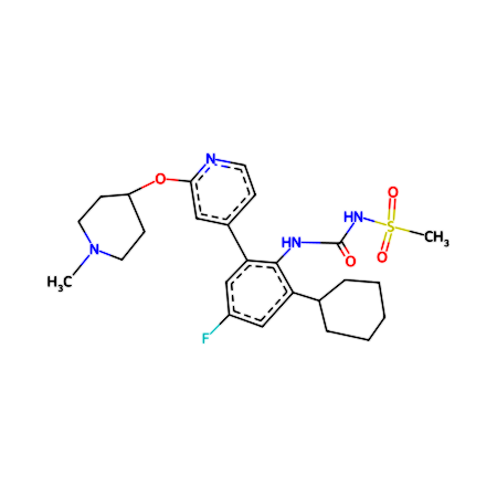 CN1CCC(Oc2cc(-c3cc(F)cc(C4CCCCC4)c3NC(=O)NS(C)(=O)=O)ccn2)CC1